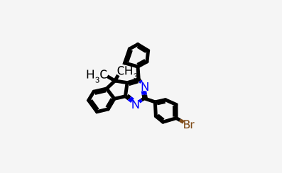 CC1(C)c2ccccc2-c2nc(-c3ccc(Br)cc3)nc(-c3ccccc3)c21